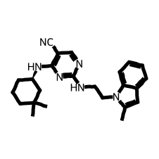 Cc1cc2ccccc2n1CCNc1ncc(C#N)c(N[C@@H]2CCCC(C)(C)C2)n1